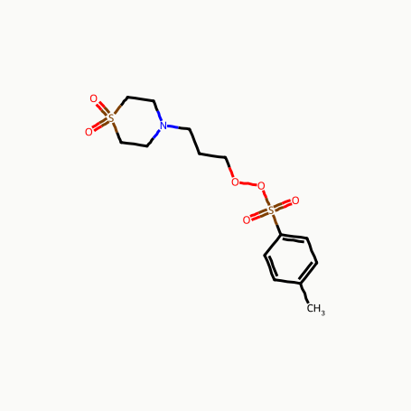 Cc1ccc(S(=O)(=O)OOCCCN2CCS(=O)(=O)CC2)cc1